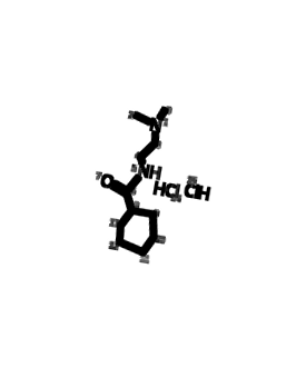 CN(C)CCNC(=O)C1CCCCC1.Cl.Cl